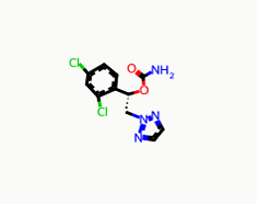 NC(=O)O[C@H](Cn1nccn1)c1ccc(Cl)cc1Cl